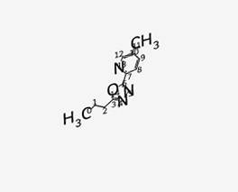 CCCc1nnc(-c2ccc(C)cn2)o1